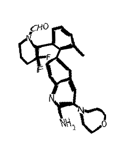 Cc1cccc(C2N(C=O)CCCC2(F)F)c1-c1ccc2nc(N)c(N3CCOCC3)cc2c1